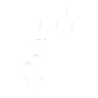 Cc1ccc(N2C(=O)/C(=C\C(=O)c3c[nH]c4ccccc34)SC2=S)cc1C